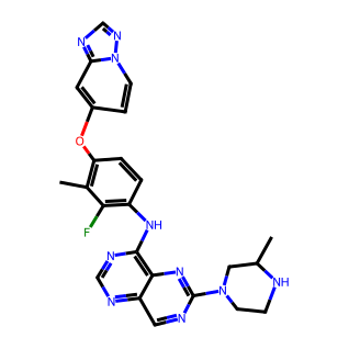 Cc1c(Oc2ccn3ncnc3c2)ccc(Nc2ncnc3cnc(N4CCNC(C)C4)nc23)c1F